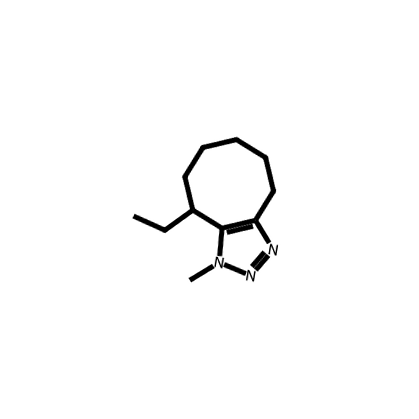 CCC1CCCCCc2nnn(C)c21